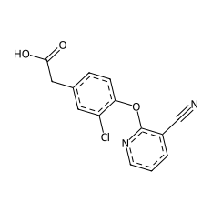 N#Cc1cccnc1Oc1ccc(CC(=O)O)cc1Cl